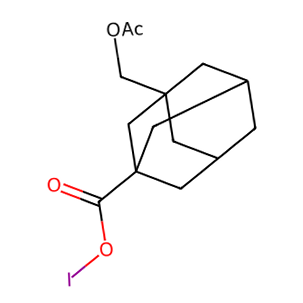 CC(=O)OCC12CC3CC(C1)CC(C(=O)OI)(C3)C2